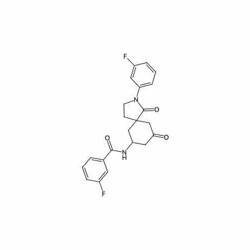 O=C1CC(NC(=O)c2cccc(F)c2)CC2(CCN(c3cccc(F)c3)C2=O)C1